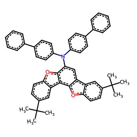 CC(C)(C)c1ccc2oc3c(cc(N(c4ccc(-c5ccccc5)cc4)c4ccc(-c5ccccc5)cc4)c4oc5ccc(C(C)(C)C)cc5c43)c2c1